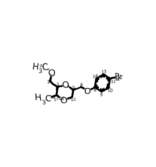 COCC1OC(COc2ccc(Br)cc2)COC1C